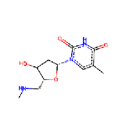 CNC[C@H]1O[C@@H](n2cc(C)c(=O)[nH]c2=O)CC1O